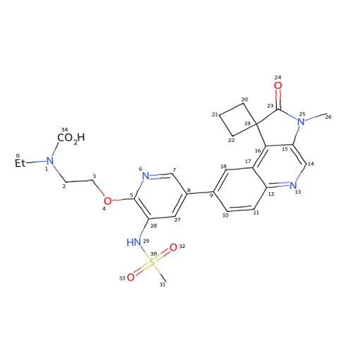 CCN(CCOc1ncc(-c2ccc3ncc4c(c3c2)C2(CCC2)C(=O)N4C)cc1NS(C)(=O)=O)C(=O)O